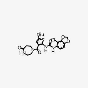 CC(C)(C)c1cc(C(=O)N2CCNC(=O)CC2)c(NC(=O)Nc2ccc3c(c2Cl)OCO3)s1